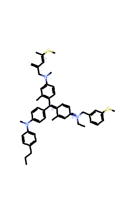 C=C(/C=C(\C)SC)CN(C)c1ccc(/C(=C2C=C/C(=[N+](/CC)Cc3cccc(SC)c3)C=C\2C)c2ccc(N(C)c3ccc(CCC)cc3)cc2)c(C)c1